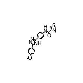 COc1ccc(-c2nnc(-c3ccc(NC(=O)c4cscn4)cc3)[nH]2)cc1